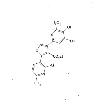 CCOC(=O)c1c(-c2cc(O)c(O)c([N+](=O)[O-])c2)coc1-c1ccc(C)nc1Cl